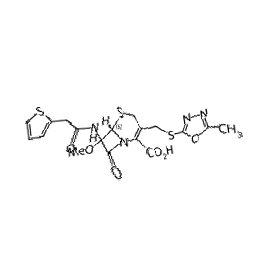 COC1(NC(=O)Cc2cccs2)C(=O)N2C(C(=O)O)=C(CSc3nnc(C)o3)CS[C@H]21